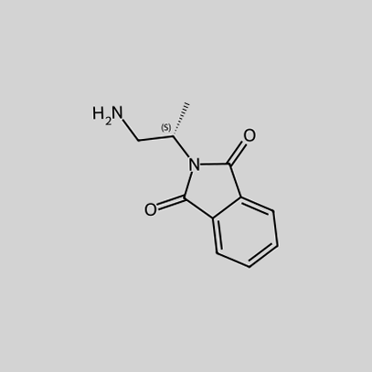 C[C@@H](CN)N1C(=O)c2ccccc2C1=O